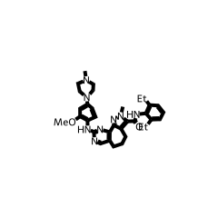 CCc1cccc(CC)c1NC(=O)c1c2c(nn1C)-c1nc(Nc3ccc(N4CCN(C)CC4)cc3OC)ncc1CCC2